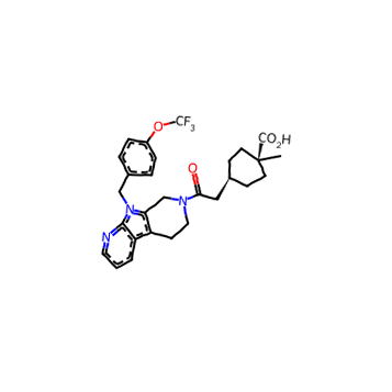 C[C@]1(C(=O)O)CC[C@@H](CC(=O)N2CCc3c(n(Cc4ccc(OC(F)(F)F)cc4)c4ncccc34)C2)CC1